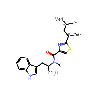 CN[C@H](C[C@@H](OC(C)=O)c1nc(C(=O)N(C)C(Cc2c[nH]c3ccccc23)C(=O)O)cs1)C(C)C